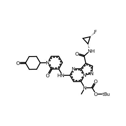 CN(C(=O)OC(C)(C)C)c1cc(Nc2cccn(C3CCC(=O)CC3)c2=O)nc2c(C(=O)N[C@@H]3C[C@@H]3F)cnn12